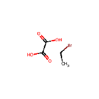 CCBr.O=C(O)C(=O)O